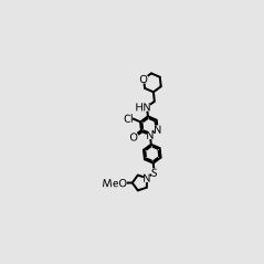 COC1CCN(Sc2ccc(-n3ncc(NCC4CCCOC4)c(Cl)c3=O)cc2)C1